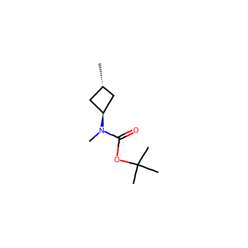 CN(C(=O)OC(C)(C)C)[C@H]1C[C@H](C)C1